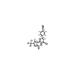 Cn1c(C(F)(F)F)nc2c(F)cc3c(=O)cc(-c4ccc(C#N)cc4)oc3c21